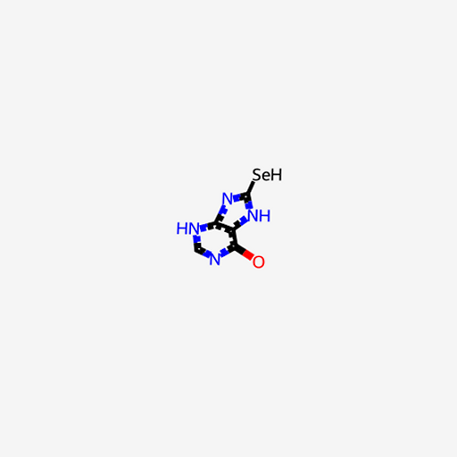 O=c1nc[nH]c2nc([SeH])[nH]c12